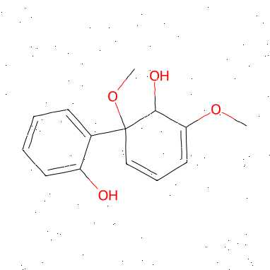 COC1=CC=CC(OC)(c2ccccc2O)C1O